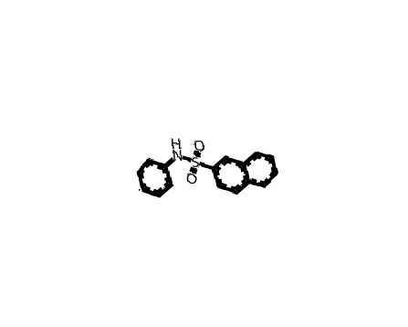 O=S(=O)(Nc1cc[c]cc1)c1ccc2ccccc2c1